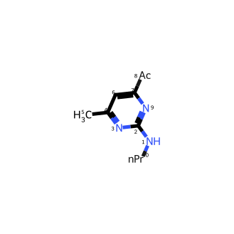 CCCNc1nc(C)cc(C(C)=O)n1